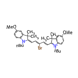 CCCCN1/C(=C/C=C(Br)/C=C/C2=[N+](CCCC)c3ccc(OC)cc3C2(C)C)C(C)(C)c2cc(OC)ccc21